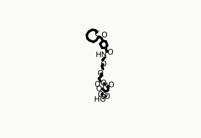 O=C(CCOCCOCCNC(=O)C1CCC(C(=O)C2CCCCCCCCC2)CC1)ON1C(=O)CC(S(=O)(=O)O)C1=O